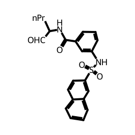 CCCC(C=O)NC(=O)c1cccc(NS(=O)(=O)c2ccc3ccccc3c2)c1